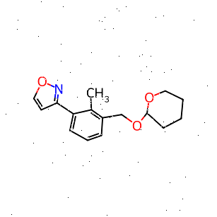 Cc1c(COC2CCCCO2)cccc1-c1ccon1